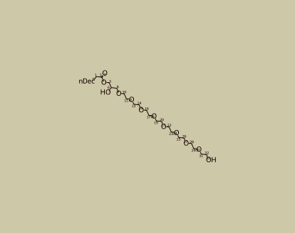 CCCCCCCCCCCC(=O)OCC(O)COCCOCCOCCOCCOCCOCCOCCOCCO